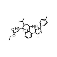 CCOC(=O)CNC(=O)N(CC(=O)Nc1c(-c2ccccc2)c(C)nn1-c1ccc(C)cc1)C(C)C